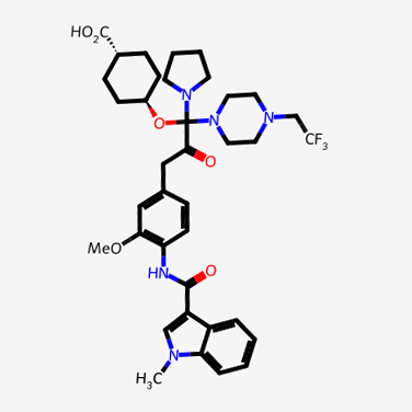 COc1cc(CC(=O)C(O[C@H]2CC[C@H](C(=O)O)CC2)(N2CCCC2)N2CCN(CC(F)(F)F)CC2)ccc1NC(=O)c1cn(C)c2ccccc12